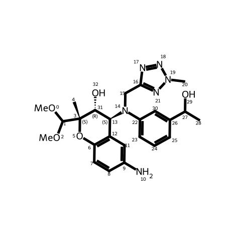 COC(OC)[C@@]1(C)Oc2ccc(N)cc2[C@H](N(Cc2nnn(C)n2)c2cccc(C(C)O)c2)[C@H]1O